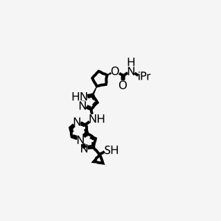 CC(C)NC(=O)O[C@@H]1CC[C@H](c2cc(Nc3nccn4nc(C5(S)CC5)cc34)n[nH]2)C1